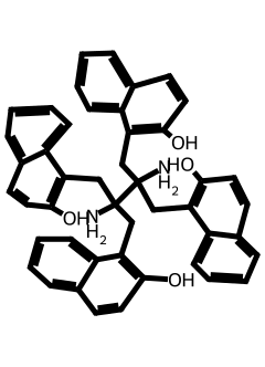 NC(Cc1c(O)ccc2ccccc12)(Cc1c(O)ccc2ccccc12)C(N)(Cc1c(O)ccc2ccccc12)Cc1c(O)ccc2ccccc12